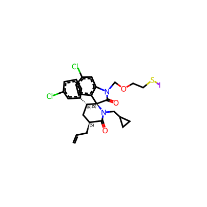 C=CC[C@H]1C[C@H](c2cccc(Cl)c2)[C@]2(C(=O)N(COCCSI)c3cc(Cl)ccc32)N(CC2CC2)C1=O